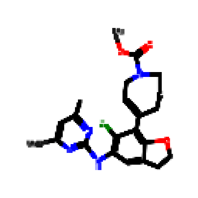 CNc1cc(C)nc(Nc2cc3c(c(C4=CCN(C(=O)OC(C)(C)C)CCC4)c2Cl)OCC3)n1